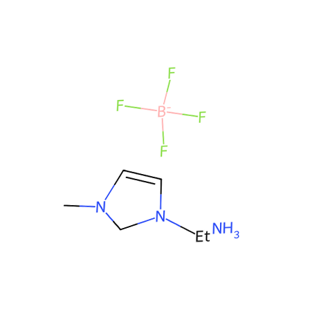 CCN1C=CN(C)C1.F[B-](F)(F)F.N